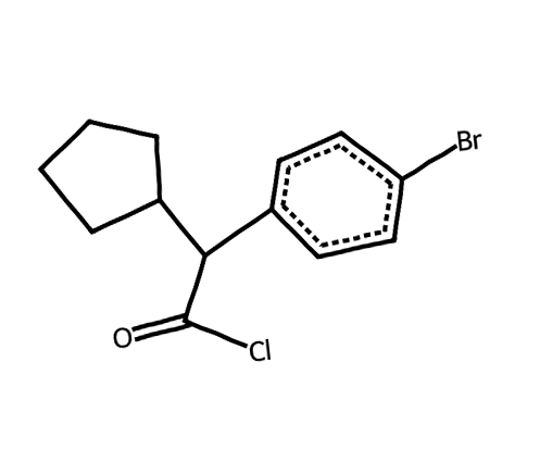 O=C(Cl)C(c1ccc(Br)cc1)C1CCCC1